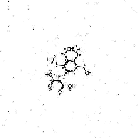 CCc1cc(C)c(CC)c(CC)c1CC.O=C(O)CC(=O)O